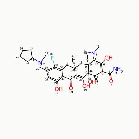 C=C1C(C(N)=O)=C(O)[C@@H](N(C)C)[C@@H]2C[C@@H]3Cc4c(F)c(CN(C)C5CCCC5)cc(O)c4C(=O)C3=C(O)[C@]12O